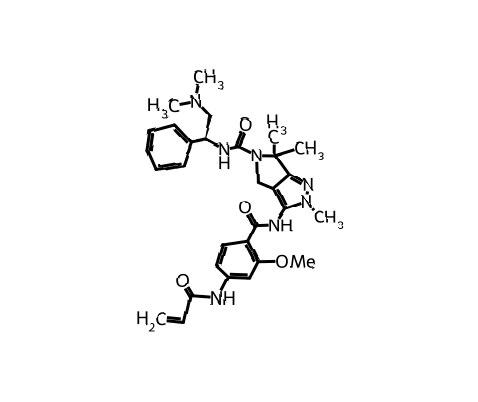 C=CC(=O)Nc1ccc(C(=O)Nc2c3c(nn2C)C(C)(C)N(C(=O)N[C@H](CN(C)C)c2ccccc2)C3)c(OC)c1